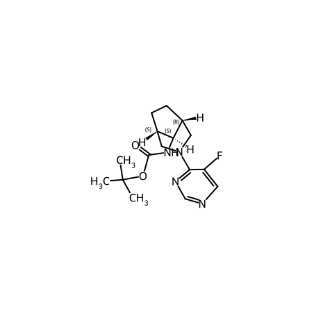 CC(C)(C)OC(=O)N[C@@H]1[C@@H]2CC[C@H]1CN(c1ncncc1F)C2